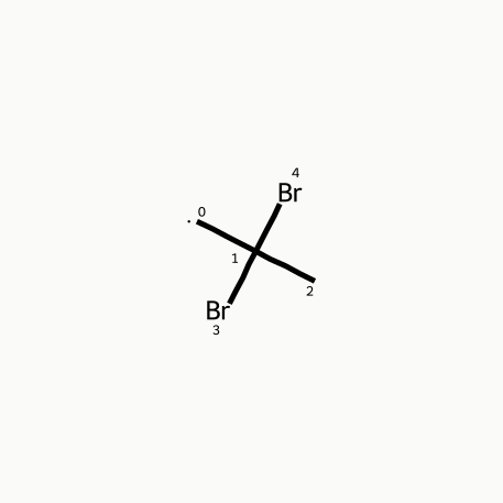 [CH2]C(C)(Br)Br